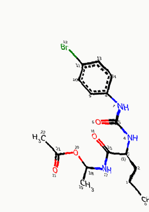 CCC[C@H](NC(=O)Nc1ccc(Br)cc1)C(=O)NC(C)OC(C)=O